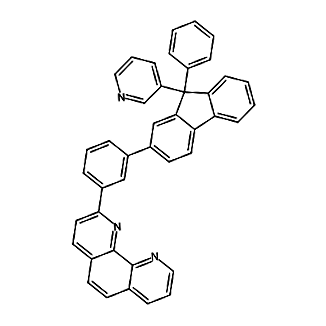 c1ccc(C2(c3cccnc3)c3ccccc3-c3ccc(-c4cccc(-c5ccc6ccc7cccnc7c6n5)c4)cc32)cc1